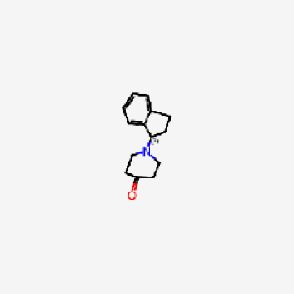 O=C1CCN([C@@H]2CCc3ccccc32)CC1